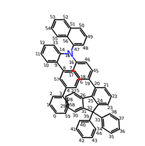 c1ccc(-c2cccc(-c3ccccc3N(c3ccc(-c4cccc5c4-c4ccccc4C5(c4ccccc4)c4ccccc4)cc3)c3cccc4ccccc34)c2)cc1